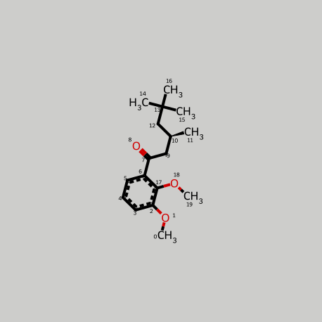 COc1cccc(C(=O)[CH][C@H](C)CC(C)(C)C)c1OC